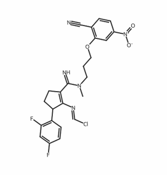 CN(CCCOc1cc([N+](=O)[O-])ccc1C#N)C(=N)C1=C(/N=C/Cl)C(c2ccc(F)cc2F)CC1